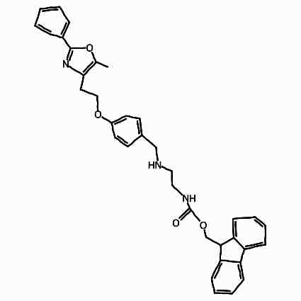 Cc1oc(-c2ccccc2)nc1CCOc1ccc(CNCCNC(=O)OCC2c3ccccc3-c3ccccc32)cc1